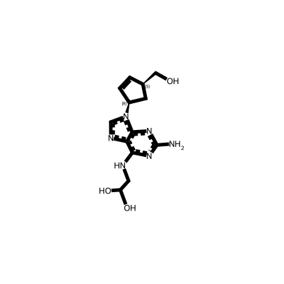 Nc1nc(NCC(O)O)c2ncn([C@H]3C=C[C@@H](CO)C3)c2n1